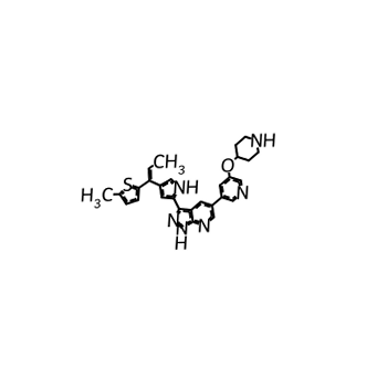 C/C=C(\c1c[nH]c(-c2n[nH]c3ncc(-c4cncc(OC5CCNCC5)c4)cc23)c1)c1ccc(C)s1